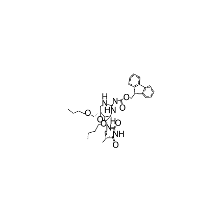 CCCCOC[C@]12CN/C(=N/C(=O)OCC3c4ccccc4-c4ccccc43)N[C@@H](C1OCCCC)[C@H](n1cc(C)c(=O)[nH]c1=O)O2